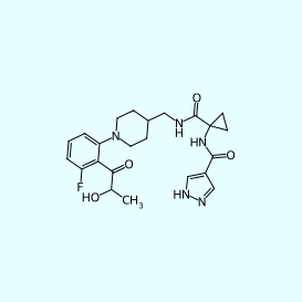 CC(O)C(=O)c1c(F)cccc1N1CCC(CNC(=O)C2(NC(=O)c3cn[nH]c3)CC2)CC1